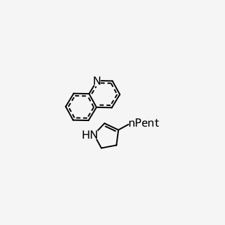 CCCCCC1=CNCC1.c1ccc2ncccc2c1